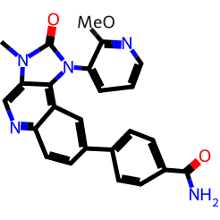 COc1ncccc1-n1c(=O)n(C)c2cnc3ccc(-c4ccc(C(N)=O)cc4)cc3c21